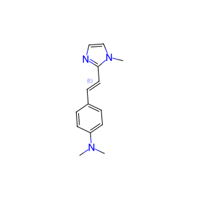 CN(C)c1ccc(/C=C/c2nccn2C)cc1